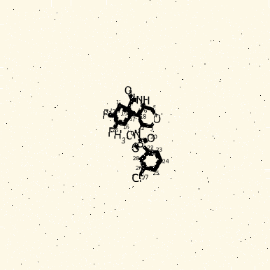 CN([C@@H]1COCc2[nH]c(=O)c3cc(F)c(F)cc3c21)S(=O)(=O)c1cccc(Cl)c1